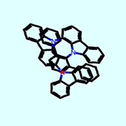 C1=CC(c2cccc(-c3ccccc3)c2-n2c3ccccc3c3cccc(-n4c5ccccc5c5ccc(-n6c7ccccc7c7ccccc76)cc54)c32)CCC1